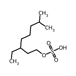 CCC(CCCC(C)C)CCOS(=O)(=O)O